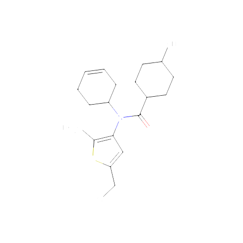 CC1CCC(C(=O)N(c2cc(CC(C)(C)C)sc2C(=O)O)C2CC=CCC2)CC1